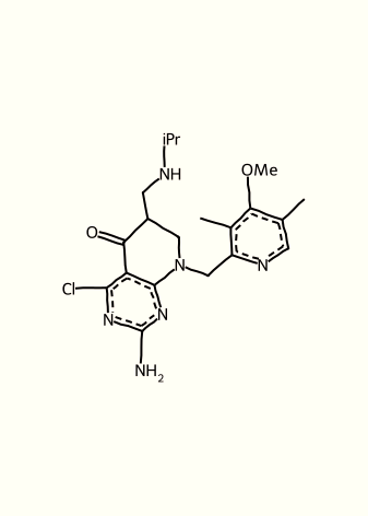 COc1c(C)cnc(CN2CC(CNC(C)C)C(=O)c3c(Cl)nc(N)nc32)c1C